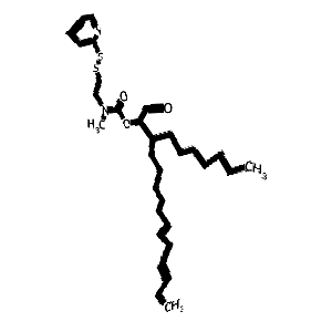 CCC=CCC=CCCCCCC(CCCCCCC)C(C=O)OC(=O)N(C)CCSSc1ccccn1